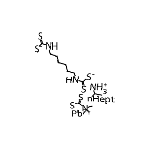 CCCCCCCC(C)[NH3+].CN(C)C(=S)[S-].S=C([S-])NCCCCCCNC(=S)[S-].[Pb+2]